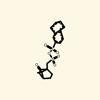 CC1(C)C2CCC1(CS(=O)(=O)OS(=O)(=O)c1ccc3ccccc3c1)C(=O)C2